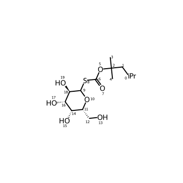 CC(C)CC(C)(C)OC(=O)SC1O[C@H](CO)[C@H](O)[C@H](O)[C@H]1O